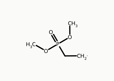 [CH2]CP(=O)(OC)OC